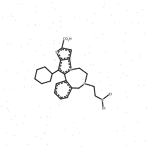 CCN(CC)CCN1CCn2c(c(C3CCCCC3)c3sc(C(=O)O)cc32)-c2ccccc2C1